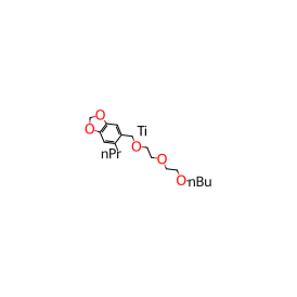 CCCCOCCOCCOCc1cc2c(cc1CCC)OCO2.[Ti]